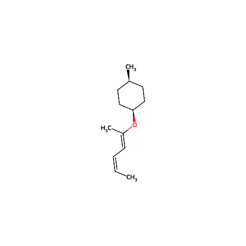 C/C=C\C=C(/C)O[C@H]1CC[C@@H](C)CC1